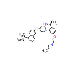 C=C(Nc1cc(Cc2ccc3c(C(=C)NC)cccc3c2)ccn1)c1ccc(OCCN2CC(C)C2)cc1